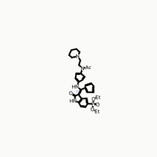 CCOP(=O)(OCC)c1ccc2c(c1)/C(=C(/Nc1ccc(N(CCN3CCCCC3)C(C)=O)cc1)c1ccccc1)C(=O)N2